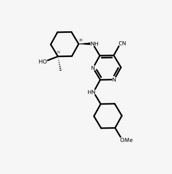 COC1CCC(Nc2ncc(C#N)c(N[C@@H]3CCC[C@](C)(O)C3)n2)CC1